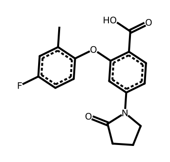 Cc1cc(F)ccc1Oc1cc(N2CCCC2=O)ccc1C(=O)O